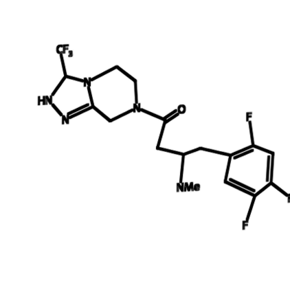 CNC(CC(=O)N1CCN2C(=NNC2C(F)(F)F)C1)Cc1cc(F)c(F)cc1F